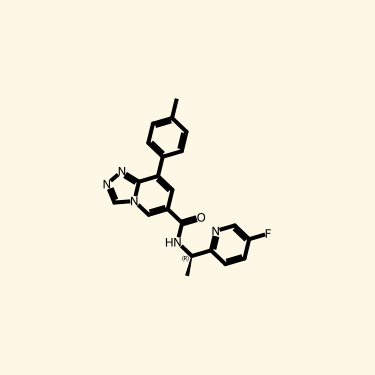 Cc1ccc(-c2cc(C(=O)N[C@H](C)c3ccc(F)cn3)cn3cnnc23)cc1